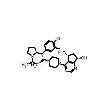 CC(C)N1CCC[C@H]1[C@@H](C(=O)N1CCN(c2ncnc3c2[C@H](C)C[C@H]3O)CC1)c1ccc(Cl)c(F)c1